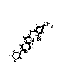 Cn1cc(Cc2cn3cc(N4CCCC4)ncc3n2)c(Br)n1